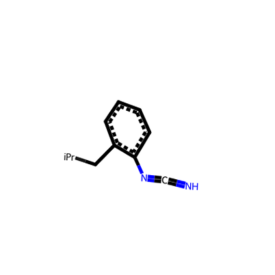 CC(C)Cc1ccccc1N=C=N